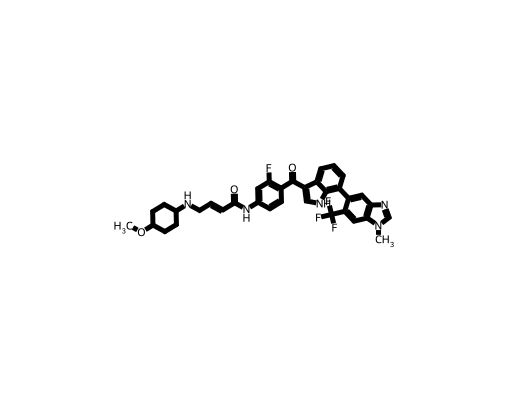 COC1CCC(NC/C=C/C(=O)Nc2ccc(C(=O)c3c[nH]c4c(-c5cc6ncn(C)c6cc5C(F)(F)F)cccc34)c(F)c2)CC1